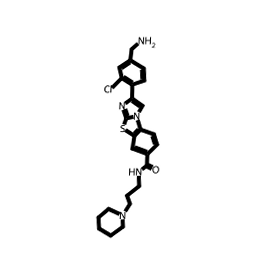 NCc1ccc(-c2cn3c(n2)sc2cc(C(=O)NCCCN4CCCCC4)ccc23)c(Cl)c1